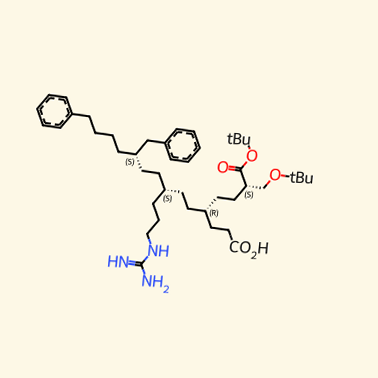 CC(C)(C)OC[C@H](CC[C@H](CCC(=O)O)CC[C@H](CCCNC(=N)N)CC[C@H](CCCCc1ccccc1)Cc1ccccc1)C(=O)OC(C)(C)C